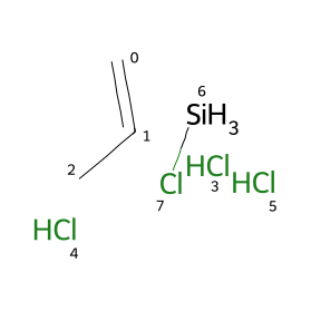 C=CC.Cl.Cl.Cl.[SiH3]Cl